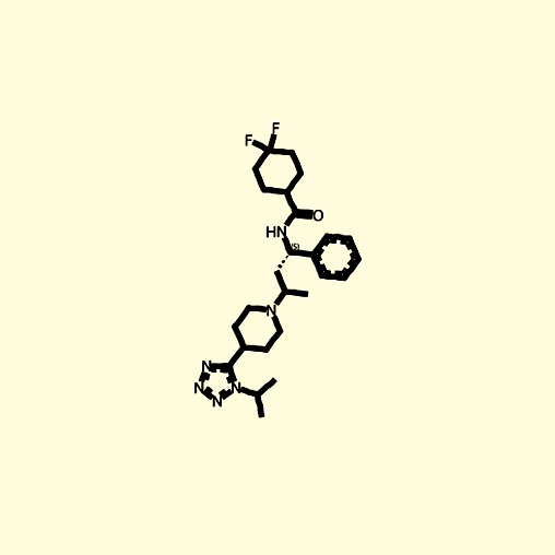 CC(C[C@H](NC(=O)C1CCC(F)(F)CC1)c1ccccc1)N1CCC(c2nnnn2C(C)C)CC1